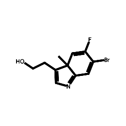 CC12C=C(F)C(Br)=CC1=NC=C2CCO